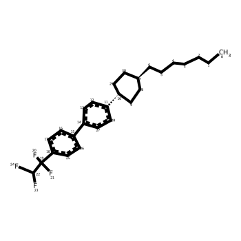 CCCCCCC[C@H]1CC[C@H](c2ccc(-c3ccc(C(F)(F)C(F)F)cc3)cc2)CC1